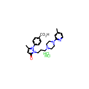 Cc1ccnc(N2CCN(CCCn3c(=O)cc(C)n3-c3ccc(C(=O)O)cc3)CC2)c1.Cl.Cl